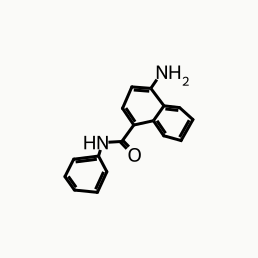 Nc1ccc(C(=O)Nc2ccccc2)c2ccccc12